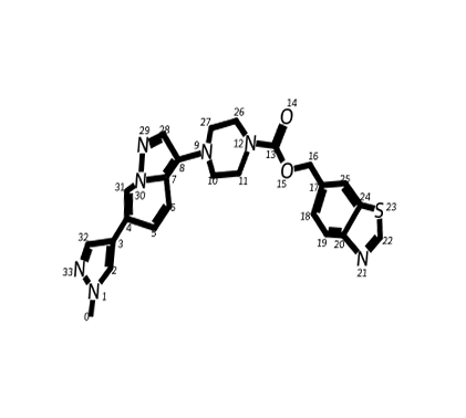 Cn1cc(-c2ccc3c(N4CCN(C(=O)OCc5ccc6ncsc6c5)CC4)cnn3c2)cn1